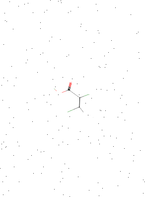 CC(F)C(F)C(=O)OF